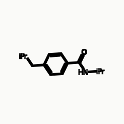 CC(C)Cc1ccc(C(=O)NC(C)C)cc1